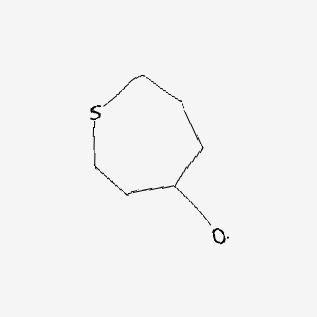 [O]C1CCCSCC1